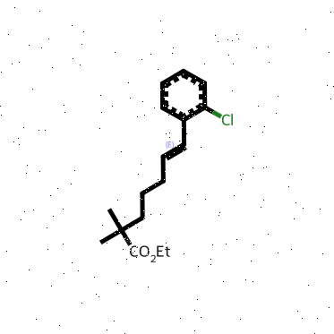 CCOC(=O)C(C)(C)CCC/C=C/c1ccccc1Cl